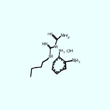 CCCCNC(=N)NC(=N)N.Cl.Nc1ccccc1N